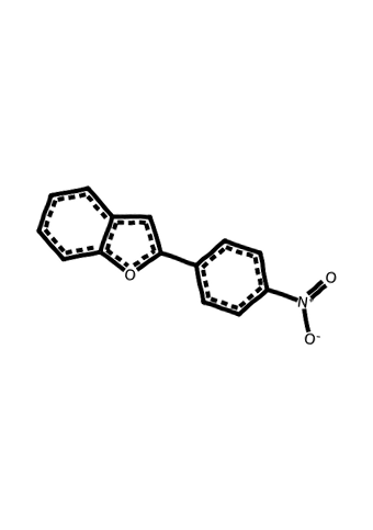 O=[N+]([O-])c1ccc(-c2cc3ccccc3o2)cc1